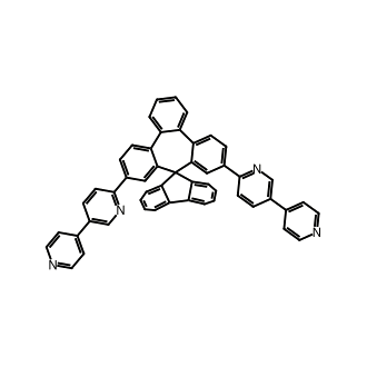 c1ccc2c(c1)-c1ccc(-c3ccc(-c4ccncc4)cn3)cc1C1(c3cc(-c4ccc(-c5ccncc5)cn4)ccc3-2)c2ccccc2-c2ccccc21